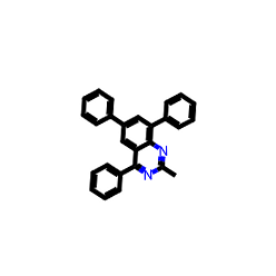 Cc1nc(-c2ccccc2)c2cc(-c3ccccc3)cc(-c3ccccc3)c2n1